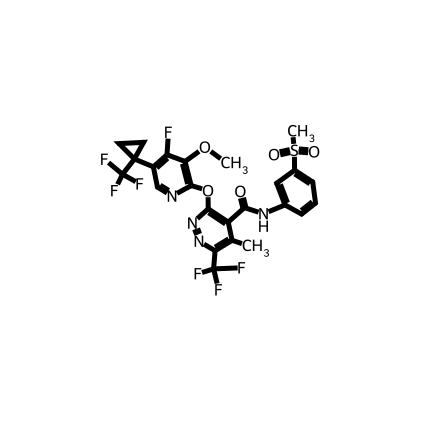 COc1c(Oc2nnc(C(F)(F)F)c(C)c2C(=O)Nc2cccc(S(C)(=O)=O)c2)ncc(C2(C(F)(F)F)CC2)c1F